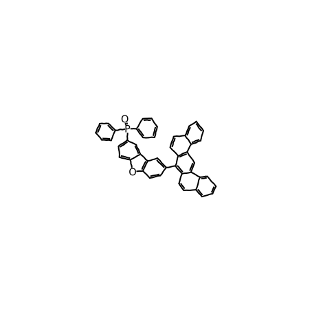 O=P(c1ccccc1)(c1ccccc1)c1ccc2oc3ccc(-c4c5ccc6ccccc6c5cc5c4ccc4ccccc45)cc3c2c1